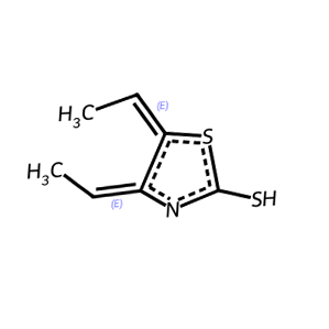 C/C=c1/nc(S)s/c1=C/C